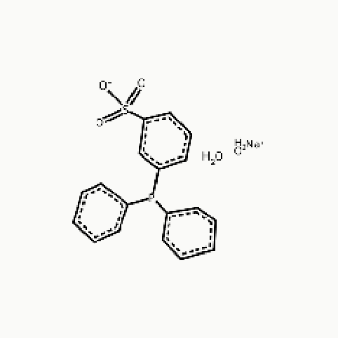 O.O.O=S(=O)([O-])c1cccc(P(c2ccccc2)c2ccccc2)c1.[Na+]